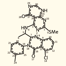 CSc1nc(NC(C)c2nc3cccc(Cl)c3c(=O)n2-c2cccc(C)c2)c2c(=O)nc[nH]c2n1